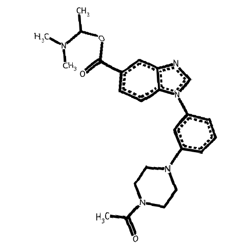 CC(=O)N1CCN(c2cccc(-n3cnc4cc(C(=O)OC(C)N(C)C)ccc43)c2)CC1